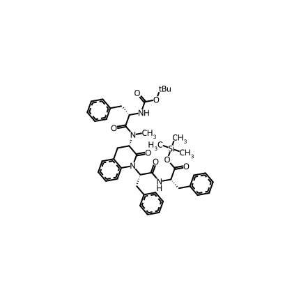 CN(C(=O)[C@H](Cc1ccccc1)NC(=O)OC(C)(C)C)[C@H]1Cc2ccccc2N([C@@H](Cc2ccccc2)C(=O)N[C@@H](Cc2ccccc2)C(=O)O[Si](C)(C)C)C1=O